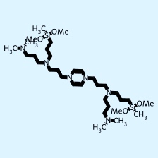 CO[Si](C)(CCCN(CCCN(C)C)CCCN1C=CN(CCCN(CCCN(C)C)CCC[Si](C)(OC)OC)C=C1)OC